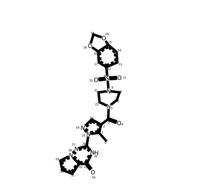 Cc1c(C(=O)N2CCN(S(=O)(=O)c3ccc4c(c3)OCO4)CC2)cnn1-c1nn2cccc2c(=O)[nH]1